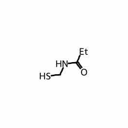 CCC(=O)NCS